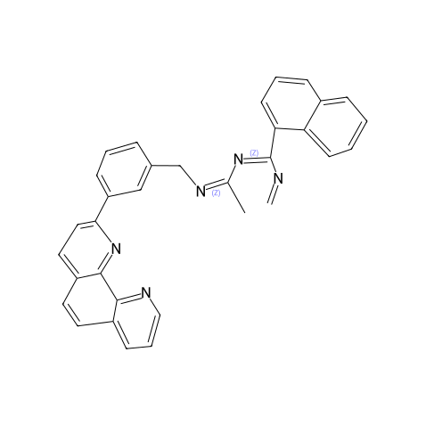 C=N/C(=N\C(C)=N/Cc1cccc(-c2ccc3ccc4cccnc4c3n2)c1)c1cccc2ccccc12